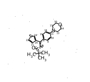 CC(C)(C)[S+]([O-])N=C(c1ccc(N2CCOCC2)cc1)c1ccsc1